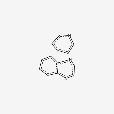 c1ccc2nccnc2c1.c1cnccn1